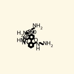 NCCNC(=O)c1ccccc1-c1ccc(S(=O)(=O)CCN)c(S(N)(=O)=O)c1-c1nn[nH]n1